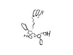 O=C(O)CCCC=CC[C@H]1C(Cl)C[C@@H](O)[C@@H]1COc1cc(Cl)cc(CO)c1